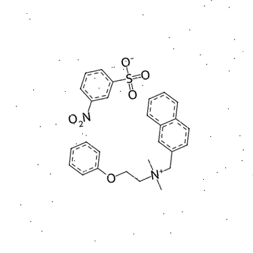 C[N+](C)(CCOc1ccccc1)Cc1ccc2ccccc2c1.O=[N+]([O-])c1cccc(S(=O)(=O)[O-])c1